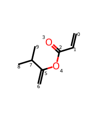 C=CC(=O)OC(=C)C(C)C